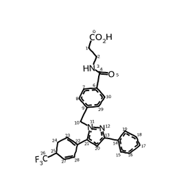 O=C(O)CCNC(=O)c1ccc(Cn2nc(-c3ccccc3)cc2C2=CCC(C(F)(F)F)C=C2)cc1